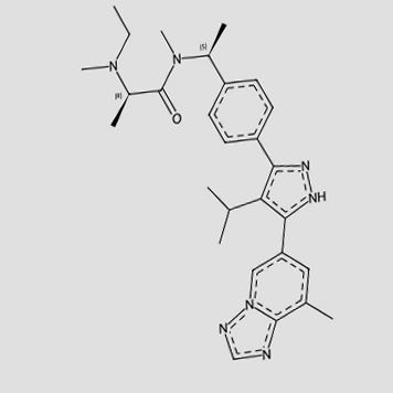 CCN(C)[C@H](C)C(=O)N(C)[C@@H](C)c1ccc(-c2n[nH]c(-c3cc(C)c4ncnn4c3)c2C(C)C)cc1